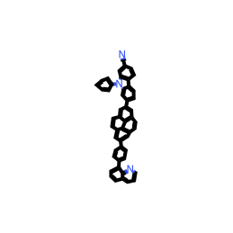 N#Cc1ccc2c3ccc(-c4cc5ccc6cc(-c7ccc(-c8cccc9cccnc89)cc7)cc7ccc(c4)c5c67)cc3n(-c3ccccc3)c2c1